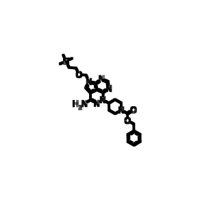 C[Si](C)(C)CCOCn1cc2c3c(ncnc31)N(C1CCN(C(=O)OCc3ccccc3)CC1)N=C2N